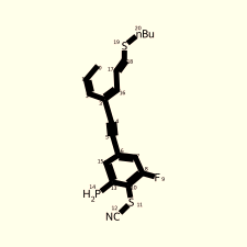 C\C=C/C(C#Cc1cc(F)c(SC#N)c(P)c1)=C\C=C\SCCCC